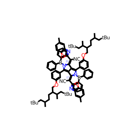 [C-]#[N+]/C(c1nc2cc(C)ccc2o1)=c1\c2c(-c3cccc(OCC(CCC(C)CC(C)(C)C)C(C)CC(C)(C)C)c3)n(B(c3ccccc3)c3ccccc3)/c(=C(/C#N)c3nc4cc(C)ccc4o3)c2c(-c2cccc(OCC(CCC(C)CC(C)(C)C)C(C)CC(C)(C)C)c2)n1B(c1ccccc1)c1ccccc1